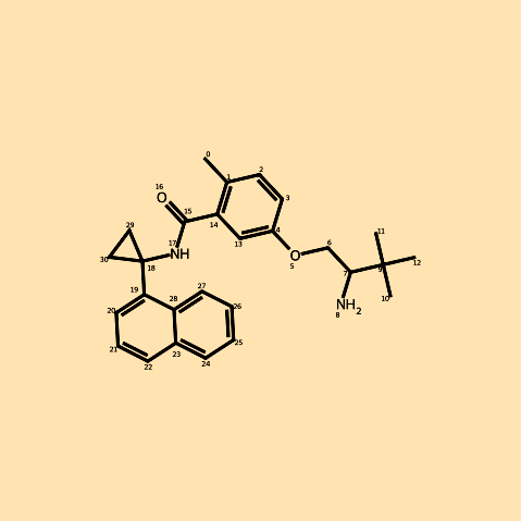 Cc1ccc(OCC(N)C(C)(C)C)cc1C(=O)NC1(c2cccc3ccccc23)CC1